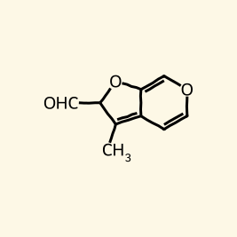 CC1=C2C=COC=C2OC1C=O